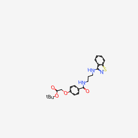 CC(C)(C)OC(=O)COc1ccc(C(=O)NCCCNc2nsc3ccccc23)cc1